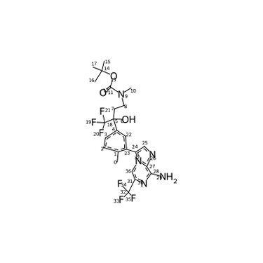 Cc1ccc(C(O)(CCN(C)C(=O)OC(C)(C)C)C(F)(F)F)cc1-c1cnc2c(N)nc(C(F)(F)F)cn12